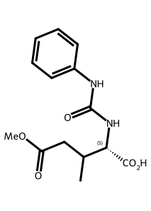 COC(=O)CC(C)[C@H](NC(=O)Nc1ccccc1)C(=O)O